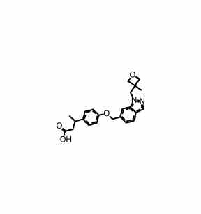 CC(CC(=O)O)c1ccc(OCc2ccc3cnn(CC4(C)COC4)c3c2)cc1